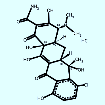 CN(C)[C@@H]1C(O)=C(C(N)=O)C(=O)[C@@]2(O)C(O)=C3C(=O)c4c(O)ccc(Cl)c4[C@@](C)(O)[C@H]3C[C@H]12.Cl